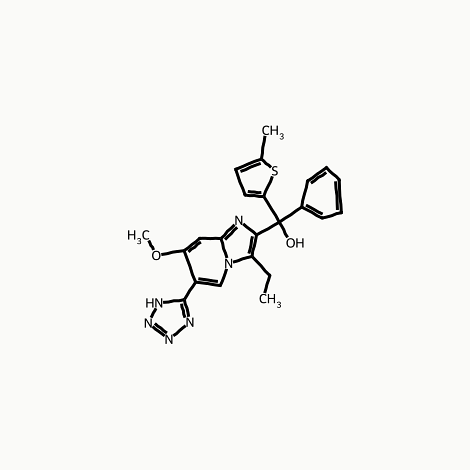 CCc1c(C(O)(c2ccccc2)c2ccc(C)s2)nc2cc(OC)c(-c3nnn[nH]3)cn12